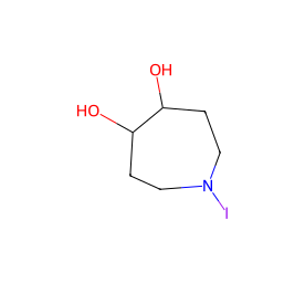 OC1CCN(I)CCC1O